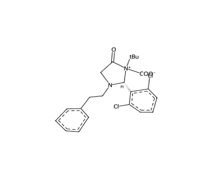 CC(C)(C)[N+]1(C(=O)[O-])C(=O)CN(CCc2ccccc2)[C@H]1c1c(Cl)cccc1Cl